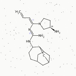 C=C/C=C(\N=C(/N)NC1CCC2CC3CC(C2)C1C3)N1CC[C@@H](N)C1